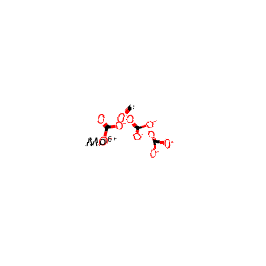 O=C([O-])[O-].O=C([O-])[O-].O=C([O-])[O-].[C]=O.[Mo+6]